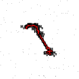 Cc1sc2c(c1C)C(c1ccc(Cl)cc1)=NC(CC(=O)Nc1ccc(OCCOCCOCCOCCOCCOCCOCCNC(=O)CCNC(=O)c3nc(NC(=O)CCNC(=O)c4cc(NC(=O)c5nc(NC(=O)CCNC(=O)c6cc(NC(=O)c7nccn7C)cn6C)cn5C)cn4C)cn3C)cc1)c1nnc(C)n1-2